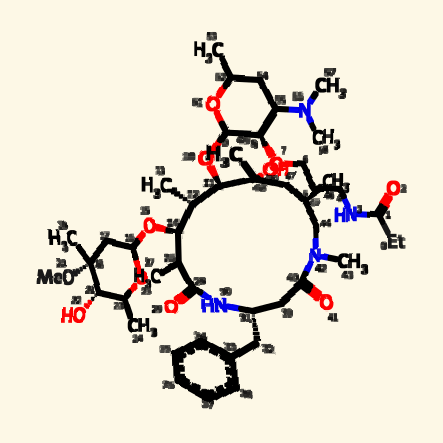 CCC(=O)NCCCO[C@H]1C(O[C@@H]2[C@@H](C)[C@H](OC3C[C@@](C)(OC)[C@@H](O)C(C)O3)C(C)C(=O)N[C@@H](Cc3ccccc3)CC(=O)N(C)C[C@H](C)CC2(C)O)OC(C)CC1N(C)C